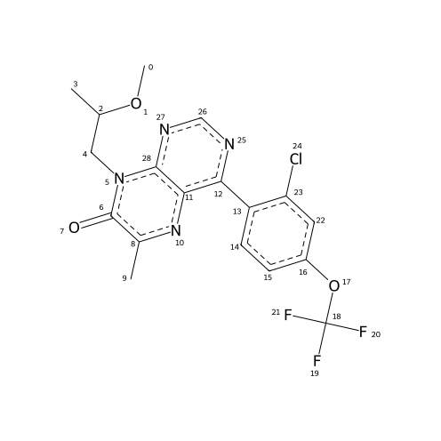 COC(C)Cn1c(=O)c(C)nc2c(-c3ccc(OC(F)(F)F)cc3Cl)ncnc21